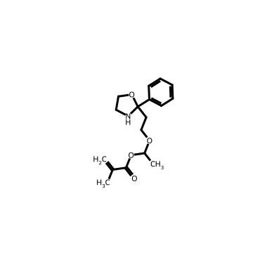 C=C(C)C(=O)OC(C)OCCC1(c2ccccc2)NCCO1